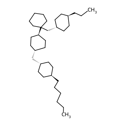 CCCCCC[C@H]1CC[C@H](C[C@H]2CC[C@H](C3(C[C@H]4CC[C@H](CCC)CC4)CCCCC3)CC2)CC1